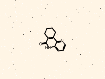 O=c1[nH]c2cccnc2c2c1CCCC2